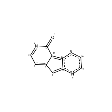 O=C1N=CC=C2C=c3ncccc3=C12